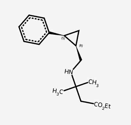 CCOC(=O)CC(C)(C)NC[C@@H]1C[C@@H]1c1ccccc1